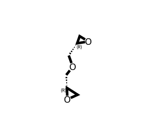 C(OC[C@@H]1CO1)[C@@H]1CO1